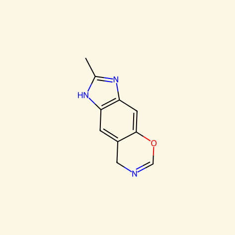 Cc1nc2cc3c(cc2[nH]1)CN=CO3